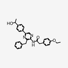 CCOc1ccc(CC(=O)Nc2ncc(-c3ccc(C(C)O)cc3)nc2Cc2ccccc2)cc1